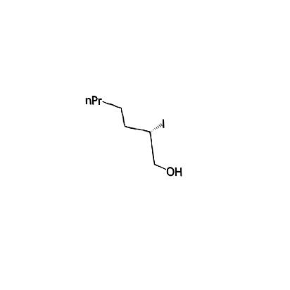 CCCCC[C@H](I)CO